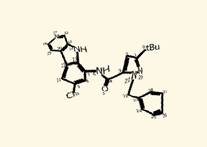 CC(C)(C)c1cc(C(=O)Nc2cc(Cl)cc3c2[nH]c2cnccc23)n(Cc2ccccc2)n1